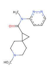 CN(C(=O)C1CC12CCN(C(=O)O)CC2)c1cccnn1